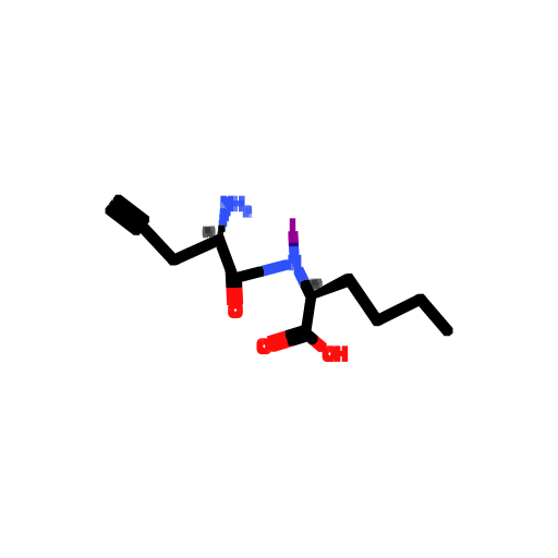 C#CC[C@H](N)C(=O)N(I)[C@@H](CCCC)C(=O)O